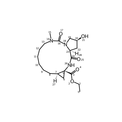 CCOC(=O)[C@@]12C[C@H]1CCCCCCN(C)C(=O)N1C[C@@H](O)C[C@H]1C(=O)N2